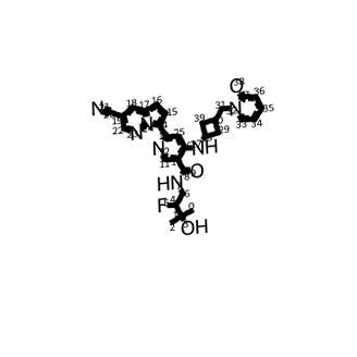 CC(C)(O)C(F)CNC(=O)c1cnc(-c2ccc3cc(C#N)cnn23)cc1NC1CC(Cn2ccccc2=O)C1